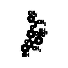 CC1=C(c2cccc(S(C)(=O)=O)c2)C(c2ccc(OCC(C)N3CCC(C)C3)cc2)Oc2ccc(O)cc21